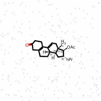 CCC[C@@H]1C[C@H]2[C@@H]3CCC4=C(CCC(=O)C4)C3=CC[C@]2(C)[C@H]1OC(C)=O